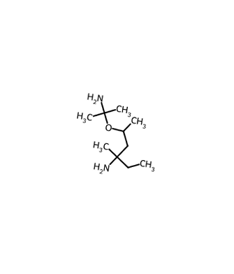 CCC(C)(N)CC(C)OC(C)(C)N